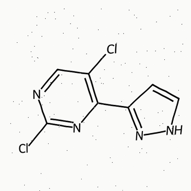 Clc1ncc(Cl)c(-c2cc[nH]n2)n1